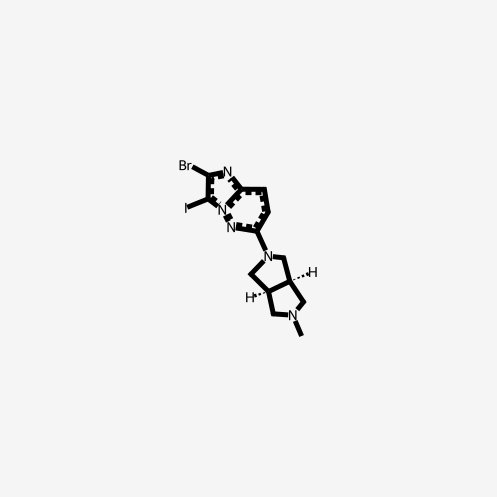 CN1C[C@@H]2CN(c3ccc4nc(Br)c(I)n4n3)C[C@@H]2C1